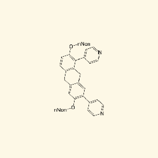 CCCCCCCCCOc1cc2c(cc1-c1ccncc1)Cc1c(ccc(OCCCCCCCCC)c1-c1ccncc1)C2